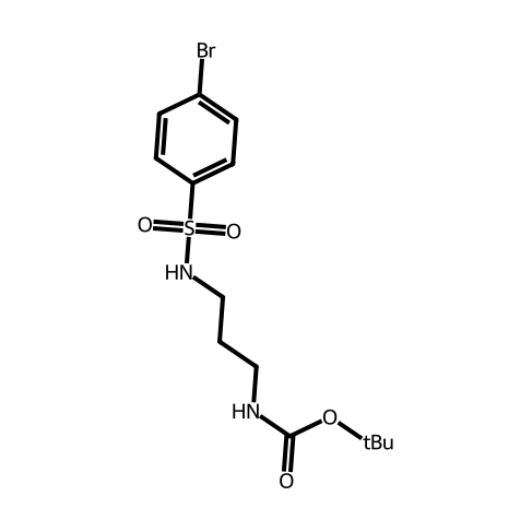 CC(C)(C)OC(=O)NCCCNS(=O)(=O)c1ccc(Br)cc1